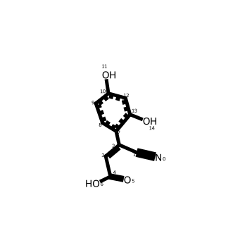 N#CC(=CC(=O)O)c1ccc(O)cc1O